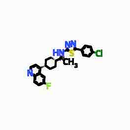 C[C@@H](Nc1nnc(-c2ccc(Cl)cc2)s1)[C@H]1CC[C@@H](c2ccnc3ccc(F)cc32)CC1